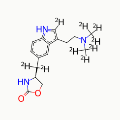 [2H]c1[nH]c2ccc(C([2H])([2H])[C@H]3COC(=O)N3)cc2c1CCN(C([2H])([2H])[2H])C([2H])([2H])[2H]